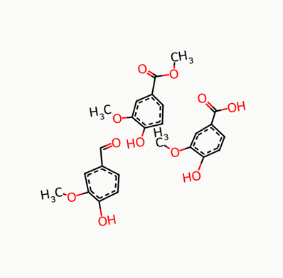 COC(=O)c1ccc(O)c(OC)c1.COc1cc(C(=O)O)ccc1O.COc1cc(C=O)ccc1O